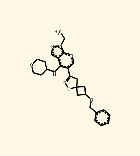 CCn1ncc2c(NC3CCOCC3)c(C3=NOC4(C3)CC(OCc3ccccc3)C4)cnc21